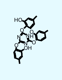 Cc1ccc(Oc2nc(Oc3ccc(C)cc3O)nc(Oc3ccc(C)cc3O)n2)c(O)c1